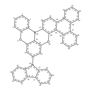 c1ccc2c(c1)Oc1cc(-n3c4ccccc4c4ccccc43)cc3c1B2c1ccc2c4ccccc4c4ccccc4c2c1O3